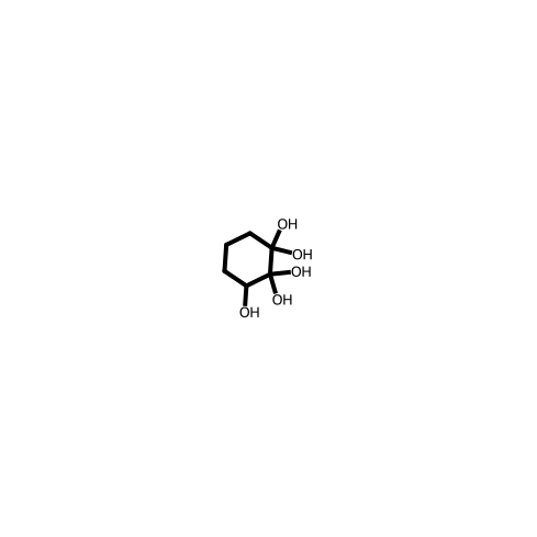 OC1CCCC(O)(O)C1(O)O